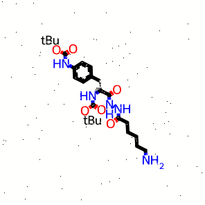 CC(C)(C)OC(=O)Nc1ccc(C[C@@H](NC(=O)OC(C)(C)C)C(=O)NNC(=O)CCCCCN)cc1